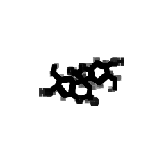 CCc1cc2c(cc1O)OC(=O)CC21C(=O)Oc2cc(O)c(CC)cc21